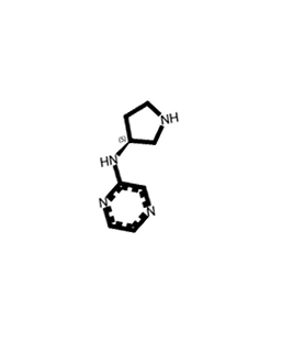 c1cnc(N[C@H]2CCNC2)cn1